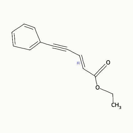 CCOC(=O)/C=C/C#Cc1ccccc1